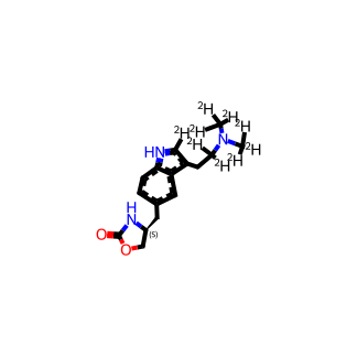 [2H]c1[nH]c2ccc(C[C@H]3COC(=O)N3)cc2c1CC([2H])([2H])N(C([2H])([2H])[2H])C([2H])([2H])[2H]